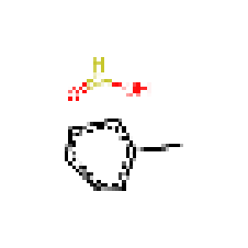 Cc1ccccc1.O=[SH]O